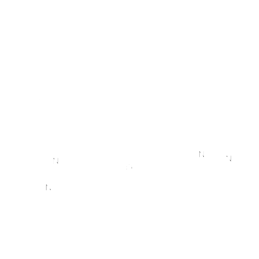 c1ccc(-c2ccc(N(c3ccc(-c4ccc(-c5ccc(N(c6ccc(-c7ccccc7)cc6)c6ccccn6)cc5)o4)cc3)c3ccccn3)cc2)cc1